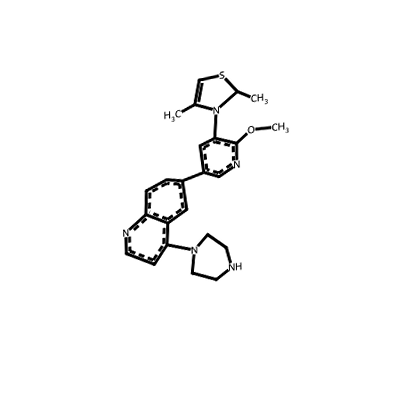 COc1ncc(-c2ccc3nccc(N4CCNCC4)c3c2)cc1N1C(C)=CSC1C